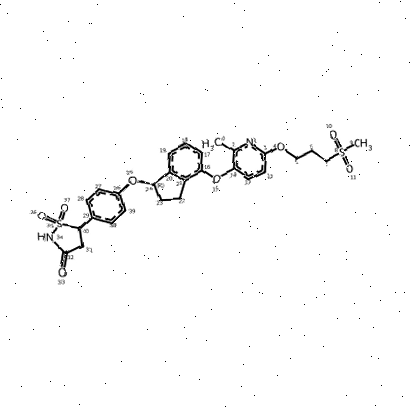 Cc1nc(OCCCS(C)(=O)=O)ccc1Oc1cccc2c1CC[C@H]2Oc1ccc(C2CC(=O)NS2(=O)=O)cc1